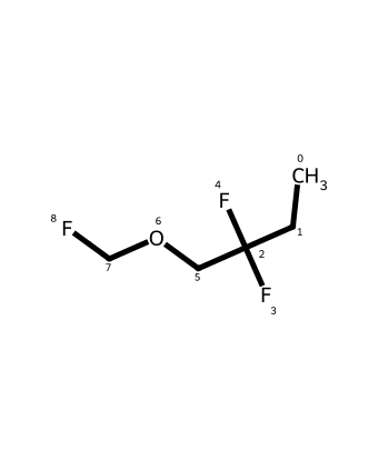 CCC(F)(F)COCF